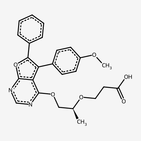 COc1ccc(-c2c(-c3ccccc3)oc3ncnc(OC[C@H](C)OCCC(=O)O)c23)cc1